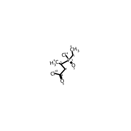 CCP(=O)(Cl)C(C)CC(=O)Cl